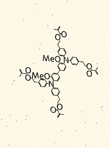 C=C(C)C(=O)OCCc1ccc(N(c2ccc(CCOC(=O)C(=C)C)cc2)c2ccc(-c3ccc(N(c4ccc(CCOC(=O)C(=C)C)cc4)c4ccc(CCOC(=O)C(=C)C)cc4)c(OC)c3)cc2OC)cc1